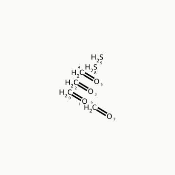 C=O.C=O.C=O.C=O.S.S